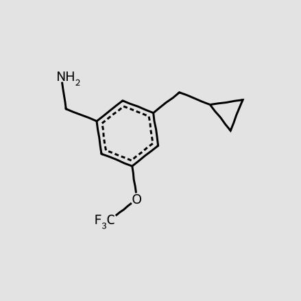 NCc1cc(CC2CC2)cc(OC(F)(F)F)c1